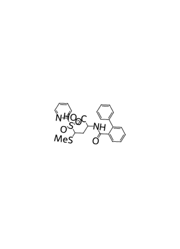 CSC(CC(NC(=O)c1ccccc1-c1ccccc1)C(=O)O)S(=O)(=O)c1ccccn1